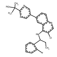 CCC(Nc1c(Cl)cnc2ccc(-c3cnc(C(C)(C)O)nc3)cc12)c1ccccc1F